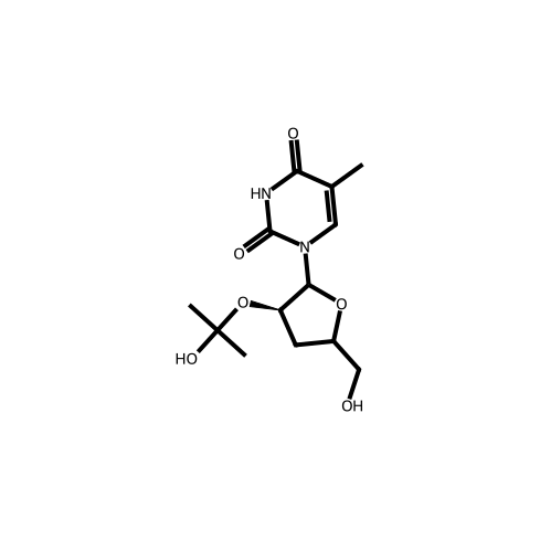 Cc1cn(C2OC(CO)C[C@H]2OC(C)(C)O)c(=O)[nH]c1=O